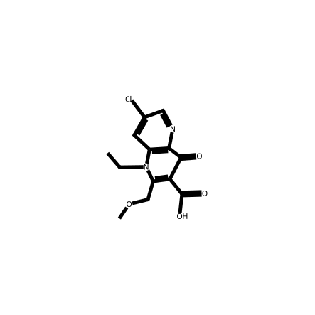 CCn1c(COC)c(C(=O)O)c(=O)c2ncc(Cl)cc21